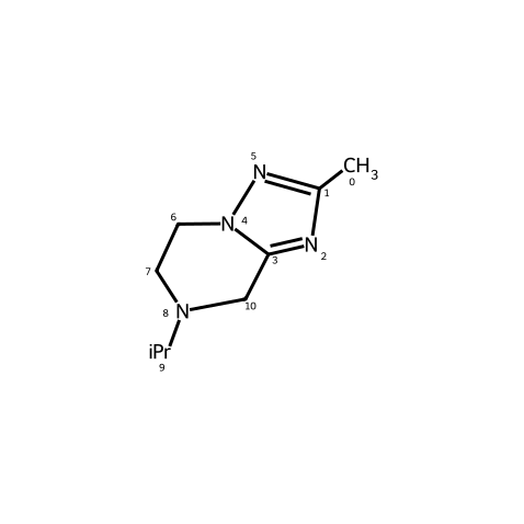 Cc1nc2n(n1)CCN(C(C)C)C2